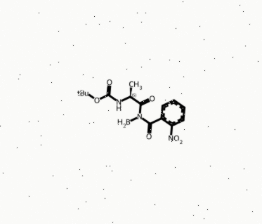 BN(C(=O)c1ccccc1[N+](=O)[O-])C(=O)[C@H](C)NC(=O)OC(C)(C)C